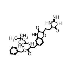 CC(C)(C)OC(=O)NC(Cc1ccc2c(c1)NC(=O)C(CCC1NC(=N)NC1=O)O2)C(=O)OCc1ccccc1